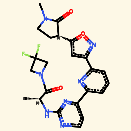 C[C@@H](Nc1nccc(-c2cccc(-c3cc([C@@H]4CCN(C)C4=O)on3)n2)n1)C(=O)N1CC(F)(F)C1